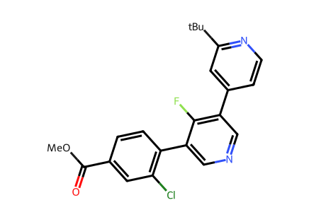 COC(=O)c1ccc(-c2cncc(-c3ccnc(C(C)(C)C)c3)c2F)c(Cl)c1